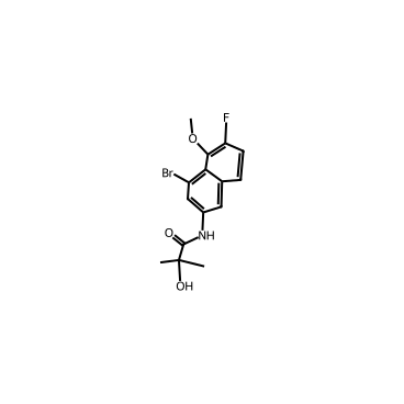 COc1c(F)ccc2cc(NC(=O)C(C)(C)O)cc(Br)c12